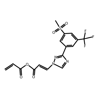 C=CC(=O)OC(=O)C=Cn1cnc(-c2cc(C(F)(F)F)cc(S(C)(=O)=O)c2)n1